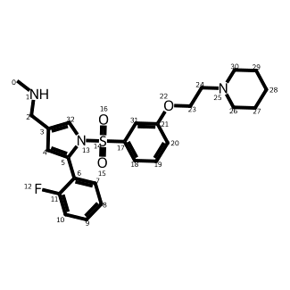 CNCc1cc(-c2ccccc2F)n(S(=O)(=O)c2cccc(OCCN3CCCCC3)c2)c1